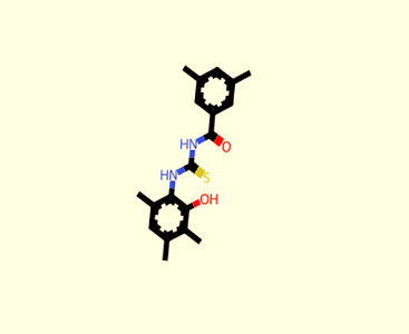 Cc1cc(C)cc(C(=O)NC(=S)Nc2c(C)cc(C)c(C)c2O)c1